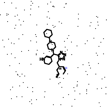 C=CC[C@H](/C=C\C)Cn1nnnc1C(C1=CNCCC1)N1CCN(C2CCCCC2)CC1